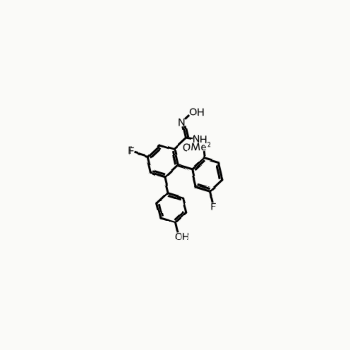 COc1ccc(F)cc1-c1c(/C(N)=N/O)cc(F)cc1-c1ccc(O)cc1